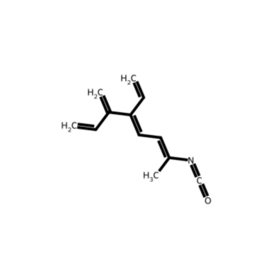 C=CC(=C)/C(C=C)=C/C=C(\C)N=C=O